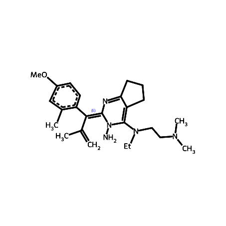 C=C(C)/C(=C1/N=C2CCCC2=C(N(CC)CCN(C)C)N1N)c1ccc(OC)cc1C